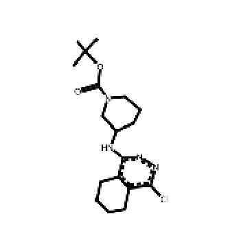 CC(C)(C)OC(=O)N1CCCC(Nc2nnc(Cl)c3c2CCCC3)C1